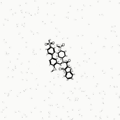 COc1ccc(-c2ccc(S(C)(=O)=O)cc2)cc1CN(C(=O)c1sc2ccccc2c1Cl)[C@H]1CC[C@H](N(C)Cl)CC1